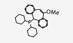 COC1=Cc2ccccc2C(P(C2CCCCC2)C2CCCCC2)c2ccccc21